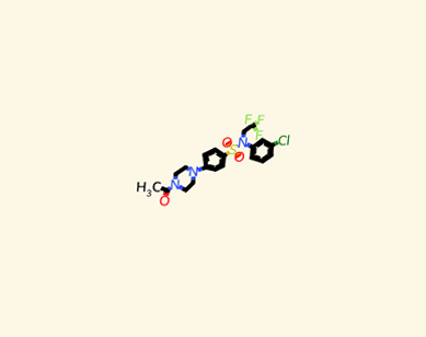 CC(=O)N1CCN(c2ccc(S(=O)(=O)N(CC(F)(F)F)c3cccc(Cl)c3)cc2)CC1